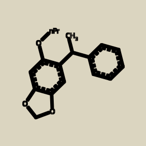 CCCOc1cc2c(cc1C(C)c1ccccc1)OCO2